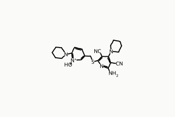 N#Cc1c(N)nc(SCc2ccc(N3CCCCC3)[n+](O)c2)c(C#N)c1N1CCCCC1